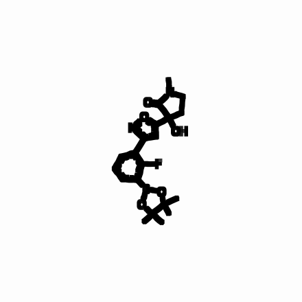 CN1CCC(O)(c2cc(-c3cccc(B4OC(C)(C)C(C)(C)O4)c3F)no2)C1=O